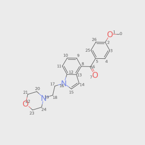 COc1ccc(C(=O)c2cccc3c2ccn3CCN2CCOCC2)cc1